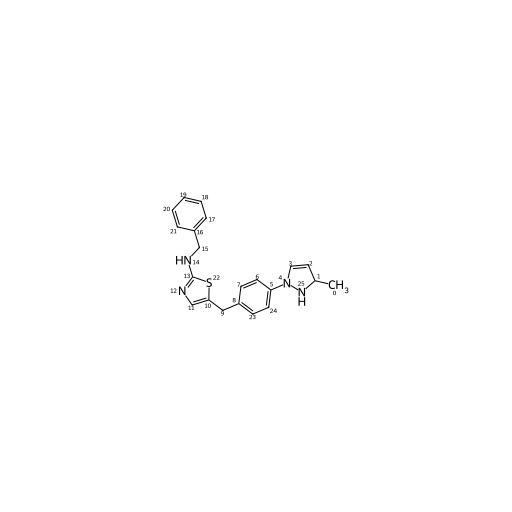 CC1C=CN(c2ccc(Cc3cnc(NCc4ccccc4)s3)cc2)N1